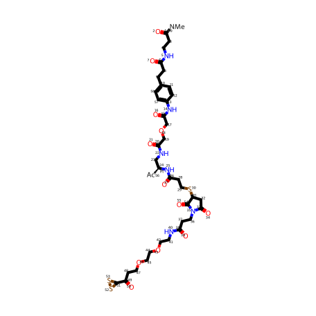 CNC(=O)CCNC(=O)CCc1ccc(NC(=O)COCC(=O)NC[C@@H](NC(=O)CCSC2CC(=O)N(CCC(=O)NCCOCCOCCC(=O)C3SS3)C2=O)C(C)=O)cc1